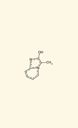 Cc1c(O)nc2ccccn12